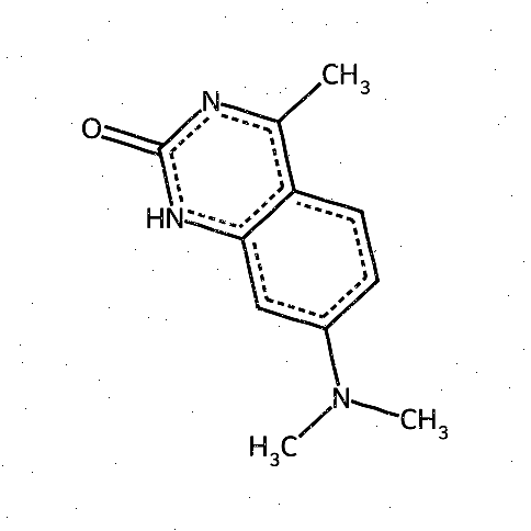 Cc1nc(=O)[nH]c2cc(N(C)C)ccc12